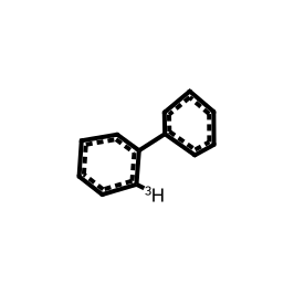 [3H]c1ccccc1-c1ccccc1